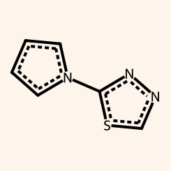 c1ccn(-c2nncs2)c1